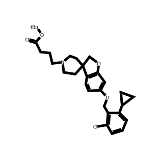 CC(C)(C)OC(=O)CCCN1CCC2(CC1)COc1cc(OCc3c(Cl)cccc3C3CC3)ccc12